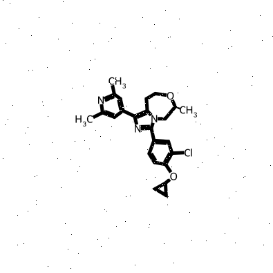 Cc1cc(-c2nc(-c3ccc(OC4CC4)c(Cl)c3)n3c2CCO[C@H](C)C3)cc(C)n1